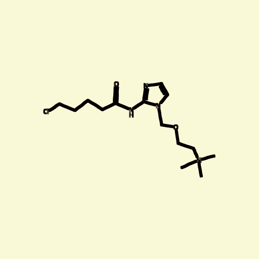 C[Si](C)(C)CCOCn1ccnc1NC(=O)CCCCCl